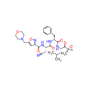 CC(C)C[C@H](NC(=O)[C@H](Cc1ccccc1)NC(=O)[C@H](CC#N)NC(=O)c1cc(CN2CCOCC2)on1)C(=O)[C@@]1(C)CO1